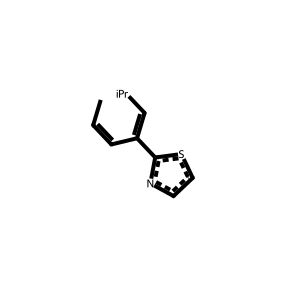 C/C=C\C(=C/C(C)C)c1nccs1